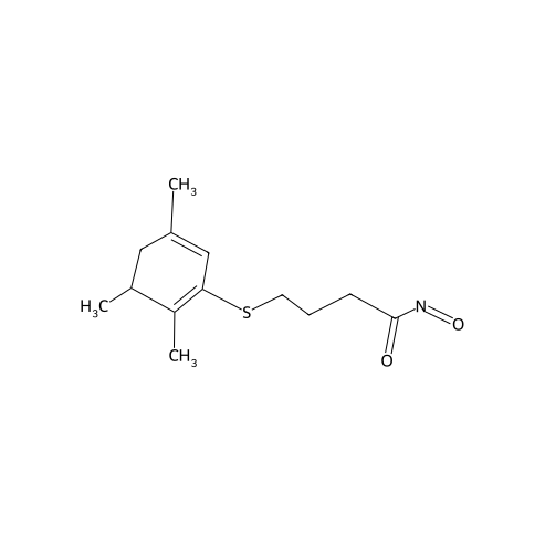 CC1=CC(SCCCC(=O)N=O)=C(C)C(C)C1